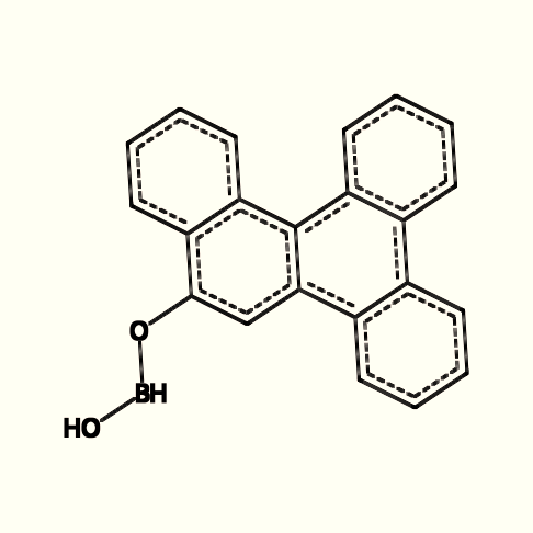 OBOc1cc2c3ccccc3c3ccccc3c2c2ccccc12